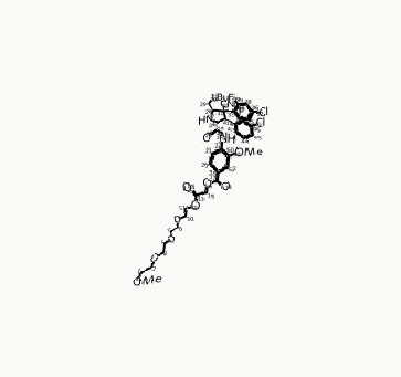 COCCOCCOCCOCCOC(=O)COC(=O)c1ccc(NC(=O)[C@@H]2N[C@@H](CC(C)(C)C)[C@](C#N)(c3ccc(Cl)cc3F)[C@H]2c2cccc(Cl)c2F)c(OC)c1